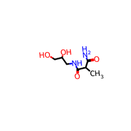 C[C](C(N)=O)C(=O)NCC(O)CO